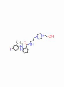 Cc1cc(I)ccc1Nc1ccccc1C(=O)NCCCN1CCN(CCO)CC1